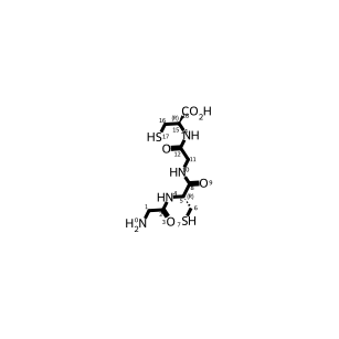 NCC(=O)N[C@@H](CS)C(=O)NCC(=O)N[C@@H](CS)C(=O)O